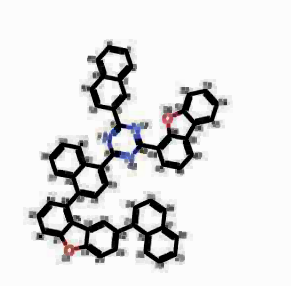 c1ccc2cc(-c3nc(-c4ccc(-c5cccc6oc7ccc(-c8cccc9ccccc89)cc7c56)c5ccccc45)nc(-c4cccc5c4oc4ccccc45)n3)ccc2c1